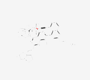 COCOc1cc(-c2nc3c4c(nc(OC[C@@]56CCCN5C[C@H](F)C6)nc4c2F)N2C[C@H]4CC[C@H](C4)[C@H]2CC3)c2c(C#C[Si](C(C)C)(C(C)C)C(C)C)c(F)ccc2c1